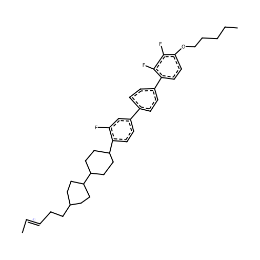 C/C=C/CCC1CCC(C2CCC(c3ccc(-c4ccc(-c5ccc(OCCCCC)c(F)c5F)cc4)cc3F)CC2)CC1